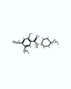 CNc1cc(F)c(C(=O)N[C@H]2CC[C@H](C)CC2)cc1N